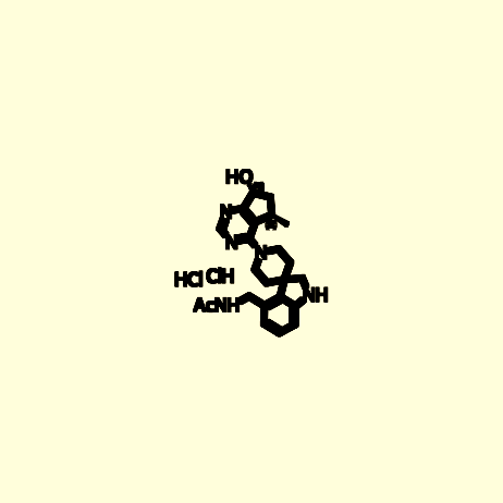 CC(=O)NCc1cccc2c1C1(CCN(c3ncnc4c3[C@H](C)C[C@H]4O)CC1)CN2.Cl.Cl